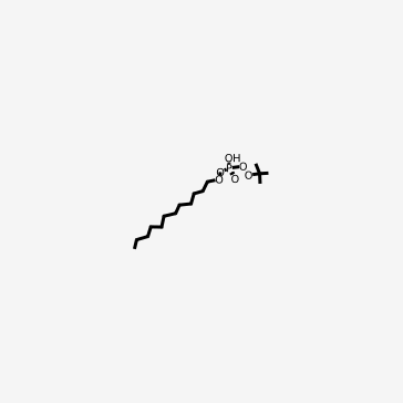 CCCCCCCCCCCCOOP(=O)(O)OOC(C)(C)C